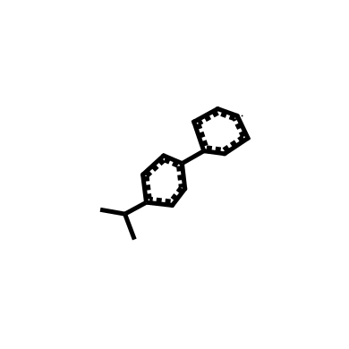 CC(C)c1ccc(-c2cc[c]cc2)cc1